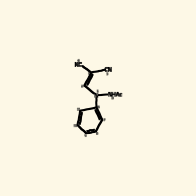 CC(=O)NN(C=C(C#N)C#N)c1ccccc1